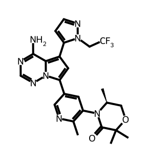 Cc1ncc(-c2cc(-c3ccnn3CC(F)(F)F)c3c(N)ncnn23)cc1N1C(=O)C(C)(C)OC[C@@H]1C